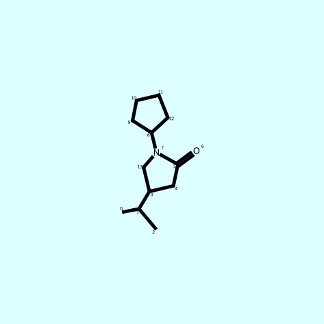 CC(C)C1CC(=O)N(C2CCCC2)C1